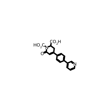 O=C(O)C1CC(c2ccc(-c3cccnc3)cc2)=CC(=O)N1C(=O)O